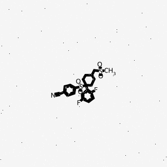 CS(=O)(=O)CC1CCC(c2cc(F)ccc2F)(S(=O)(=O)c2ccc(C#N)cc2)CC1